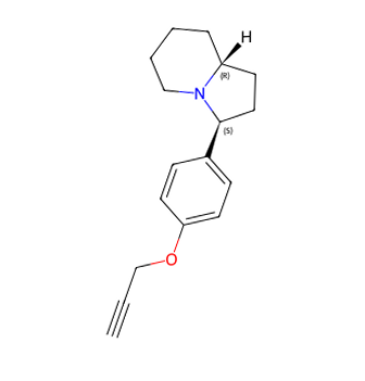 C#CCOc1ccc([C@@H]2CC[C@H]3CCCCN32)cc1